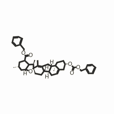 CC1=C2C[C@H]3[C@@H](CC=C4C[C@@H](OC(=O)OCc5ccccc5)CC[C@@]43C)[C@@H]2CC[C@]12O[C@@H]1C[C@H](C)CC(C(=O)OCc3ccccc3)C1[C@H]2C